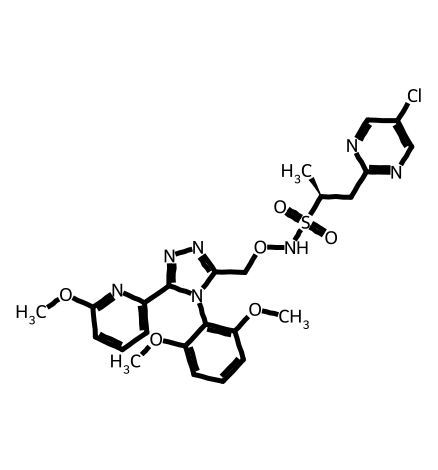 COc1cccc(-c2nnc(CONS(=O)(=O)[C@@H](C)Cc3ncc(Cl)cn3)n2-c2c(OC)cccc2OC)n1